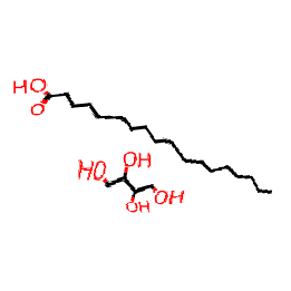 CCCCCCCCCCCCCCCCCC(=O)O.OCC(O)C(O)CO